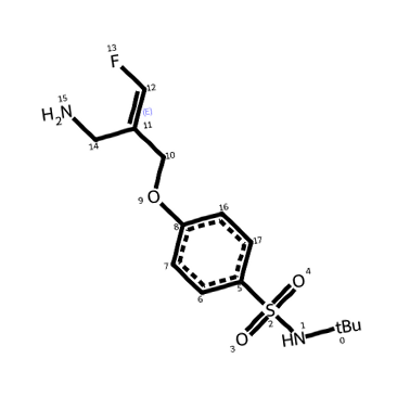 CC(C)(C)NS(=O)(=O)c1ccc(OC/C(=C/F)CN)cc1